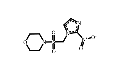 O=[N+]([O-])c1nccn1CS(=O)(=O)N1CCOCC1